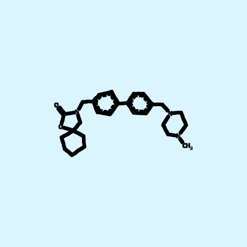 CN1CCN(Cc2ccc(-c3ccc(CN4CC5(CCCCC5)OC4=O)cc3)cc2)CC1